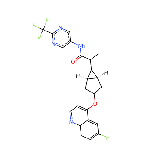 CC(C(=O)Nc1cnc(C(F)(F)F)nc1)C1[C@H]2CC(OC3=CC=NC4CC=C(F)C=C34)C[C@@H]12